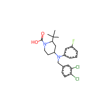 CC(C)(C)C1CC(N(Cc2ccc(Cl)c(Cl)c2)c2cccc(F)c2)CCN1C(=O)O